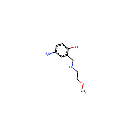 COCCNCc1cc(N)ccc1O